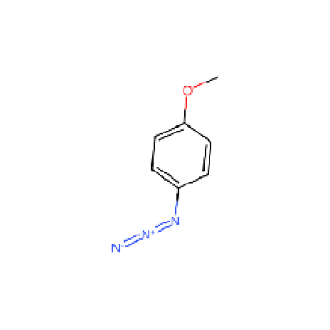 COc1ccc(N=[N+]=[N-])cc1